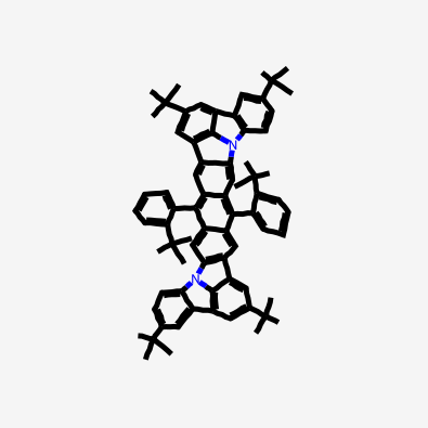 CC(C)(C)c1ccc2c(c1)c1cc(C(C)(C)C)cc3c4cc5c(-c6ccccc6C(C)(C)C)c6cc7c(cc6c(-c6ccccc6C(C)(C)C)c5cc4n2c13)c1cc(C(C)(C)C)cc2c3cc(C(C)(C)C)ccc3n7c21